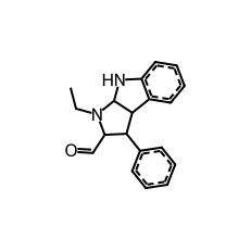 CCN1C(C=O)C(c2ccccc2)C2c3ccccc3NC21